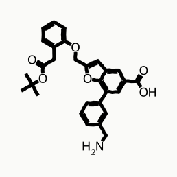 CC(C)(C)OC(=O)Cc1ccccc1OCc1cc2cc(C(=O)O)cc(-c3cccc(CN)c3)c2o1